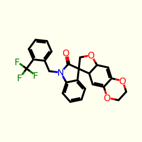 O=C1N(Cc2ccccc2C(F)(F)F)c2ccccc2C12COC1C=C3OCCOC3=CC12